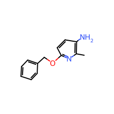 Cc1nc(OCc2ccccc2)ccc1N